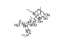 CCCCCN(CC1=C(C(=O)O)N2C(=O)[C@@H](NC(=O)/C(=N\OC(C)(C)C(=O)O)c3csc(N)n3)[C@H]2S[C@H]1C)Cc1cn(CC)c2cc(O)c(O)c(Cl)c2c1=O